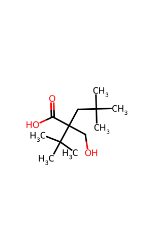 CC(C)(C)CC(CO)(C(=O)O)C(C)(C)C